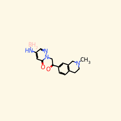 BNc1cnn(CC(=O)c2ccc3c(c2)CN(C)CC3)c(=O)c1